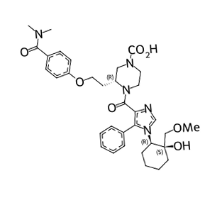 COC[C@]1(O)CCCC[C@H]1n1cnc(C(=O)N2CCN(C(=O)O)C[C@H]2CCOc2ccc(C(=O)N(C)C)cc2)c1-c1ccccc1